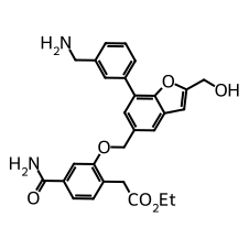 CCOC(=O)Cc1ccc(C(N)=O)cc1OCc1cc(-c2cccc(CN)c2)c2oc(CO)cc2c1